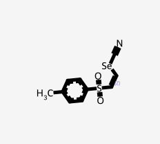 Cc1ccc(S(=O)(=O)/C=C\[Se]C#N)cc1